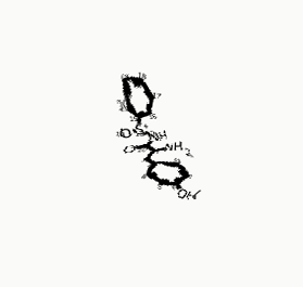 NC(Cc1ccc(O)cc1)C(=O)N[S+]([O-])c1ccccc1